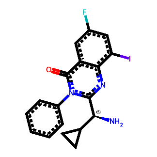 N[C@H](c1nc2c(I)cc(F)cc2c(=O)n1-c1ccccc1)C1CC1